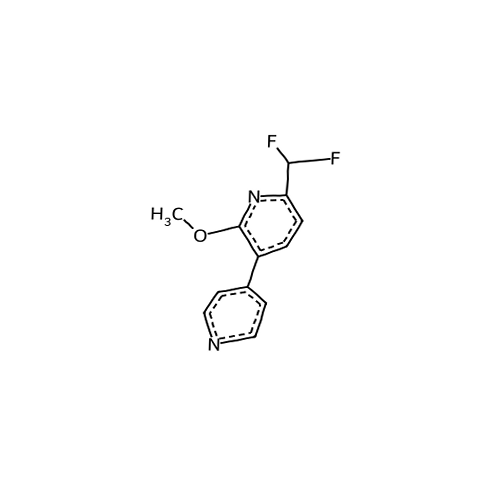 COc1nc(C(F)F)ccc1-c1ccncc1